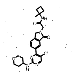 CC1(NC(=O)CN2Cc3ccc(-c4nc(NC5CCOCC5)ncc4Cl)cc3C2=O)CCC1